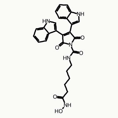 O=C(CCCCCNC(=O)N1C(=O)C(c2c[nH]c3ccccc23)=C(c2c[nH]c3ccccc23)C1=O)NO